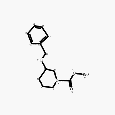 CC(C)(C)OC(=O)N1CCCC(OCc2ccccc2)C1